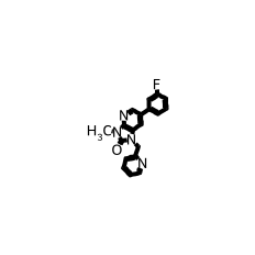 Cn1c(=O)n(Cc2ccccn2)c2cc(-c3cccc(F)c3)cnc21